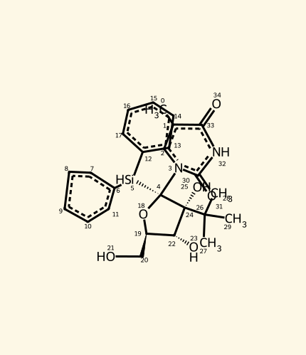 Cc1cn([C@]2([SiH](c3ccccc3)c3ccccc3)O[C@H](CO)[C@@H](O)[C@]2(O)C(C)(C)C)c(=O)[nH]c1=O